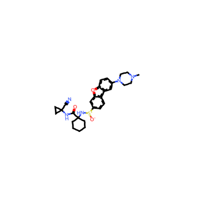 CN1CCN(c2ccc3oc4cc([S+]([O-])NC5(C(=O)NC6(C#N)CC6)CCCCC5)ccc4c3c2)CC1